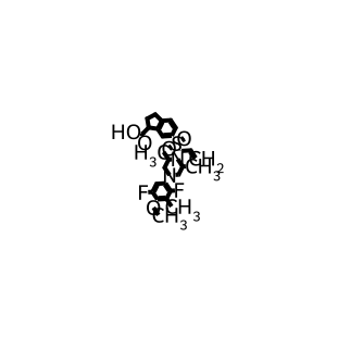 C=CC(N1C(C)CN(c2cc(F)c(OC)c(C)c2F)CC1C)S(=O)(=O)c1ccc2c(c1)C(C(=O)O)CC2